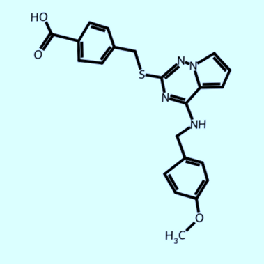 COc1ccc(CNc2nc(SCc3ccc(C(=O)O)cc3)nn3cccc23)cc1